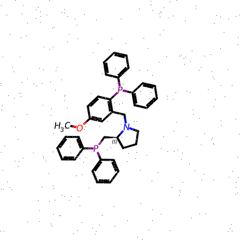 COc1ccc(P(c2ccccc2)c2ccccc2)c(CN2CCC[C@H]2CP(c2ccccc2)c2ccccc2)c1